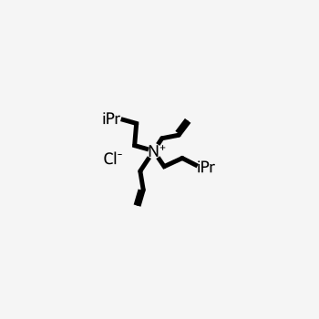 C=CC[N+](CC=C)(CCC(C)C)CCC(C)C.[Cl-]